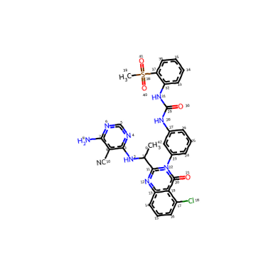 CC(Nc1ncnc(N)c1C#N)c1nc2cccc(Cl)c2c(=O)n1-c1cccc(NC(=O)Nc2ccccc2S(C)(=O)=O)c1